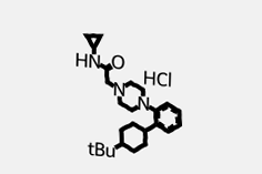 CC(C)(C)C1CCC(c2ccccc2N2CCN(CC(=O)NC3CC3)CC2)CC1.Cl